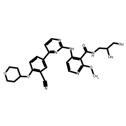 COc1nccc(Nc2nccc(-c3ccc(OC4CCOCC4)c(C#N)c3)n2)c1C(=O)NCC(O)CO